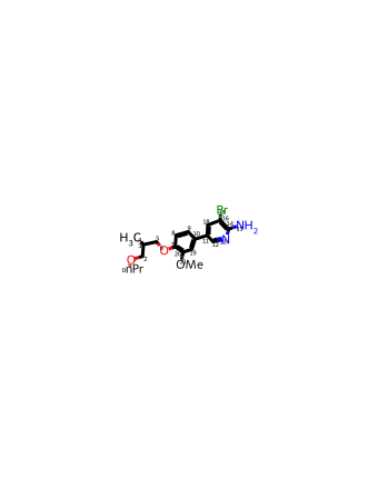 CCCOCC(C)COc1ccc(-c2cnc(N)c(Br)c2)cc1OC